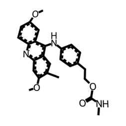 CNC(=O)OCCc1ccc(Nc2c3cc(OC)ccc3nc3cc(OC)c(C)cc23)cc1